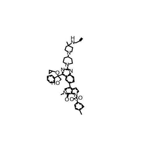 C#CCNC1(C)CCN(C2CCN(c3nc(C(CO)(OC4CC4)c4ccccc4)c4cc(-c5cn(C)c(=O)c6c5ccn6S(=O)(=O)c5ccc(C)cc5)ccc4n3)CC2)CC1